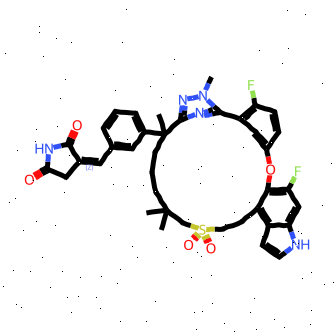 Cn1nc2nc1-c1cc(ccc1F)Oc1c(F)cc3[nH]ccc3c1CCS(=O)(=O)CC(C)(C)CCCC2(C)c1cccc(/C=C2/CC(=O)NC2=O)c1